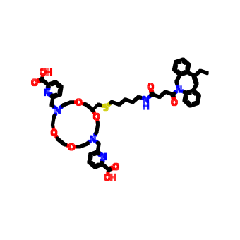 CC/C1=C/c2ccccc2N(C(=O)CCC(=O)NCCCCCSC[C@@H]2COCCN(Cc3cccc(C(=O)O)n3)CCOCCOCCN(Cc3cccc(C(=O)O)n3)CCO2)Cc2ccccc21